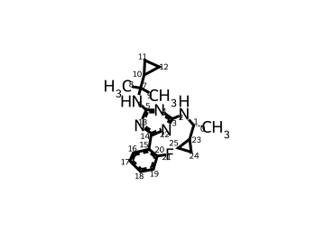 C[C@@H](Nc1nc(NC(C)(C)C2CC2)nc(-c2ccccc2F)n1)C1CC1